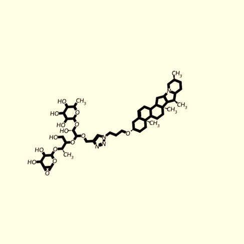 CC1OC(O[C@@H](O)C(OCc2cn(CCCO[C@H]3CC[C@@]4(C)C(=CCC5C6CC7C([C@H](C)C8CC[C@H](C)CN78)[C@@]6(C)CCC54)C3)nn2)OC(CO)[C@H](C)OC2OC3OC3C(O)C2O)C(O)C(O)C1O